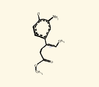 C/C=C(/CC(=O)OC)c1ccc(Cl)c(N)c1